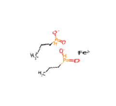 CCC[PH](=O)[O-].CCC[PH](=O)[O-].[Fe+2]